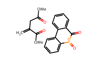 C=C(CC(=O)OC)C(=O)OC.O=C1c2ccccc2-c2ccccc2[PH]1=O